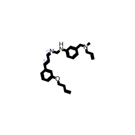 C=CCCOc1cccc(/C=C/C=N\CNc2cccc(CN(C)CC=C)c2)c1